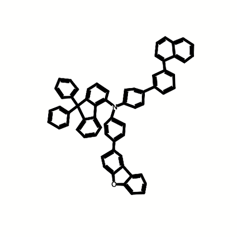 c1ccc(C2(c3ccccc3)c3ccccc3-c3c(N(c4ccc(-c5cccc(-c6cccc7ccccc67)c5)cc4)c4ccc(-c5ccc6oc7ccccc7c6c5)cc4)cccc32)cc1